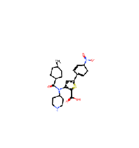 CC1CCC(C(=O)N(c2cc(C3=CCC([N+](=O)[O-])C=C3)sc2C(=O)O)C2CCNCC2)CC1